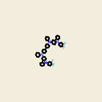 Fc1ccc(-n2c3ccccc3c3cc(N(c4ccccc4)c4ccc(-c5ccc(N(c6ccccc6)c6ccc7c(c6)c6ccccc6n7-c6ccc(F)c(F)c6)cc5)cc4)ccc32)cc1F